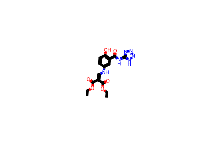 CCOC(=O)C(=CNc1ccc(O)c(C(=O)Nc2nnn[nH]2)c1)C(=O)OCC